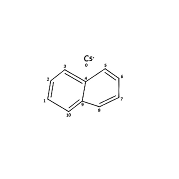 [Cs].c1ccc2ccccc2c1